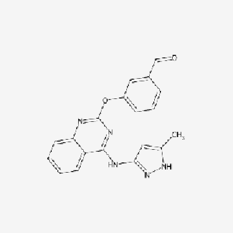 Cc1cc(Nc2nc(Oc3cccc(C=O)c3)nc3ccccc23)n[nH]1